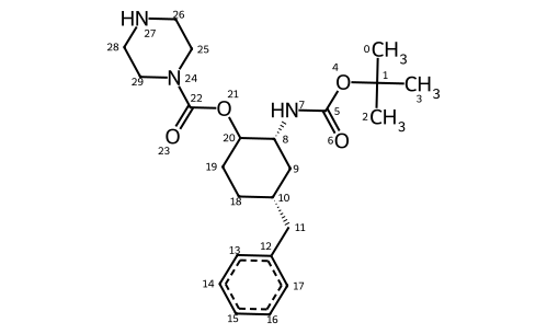 CC(C)(C)OC(=O)N[C@@H]1C[C@H](Cc2ccccc2)CCC1OC(=O)N1CCNCC1